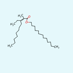 CCCCCCCCCCCCCOC(=O)C(C)=C(CC)CCCCCCCC